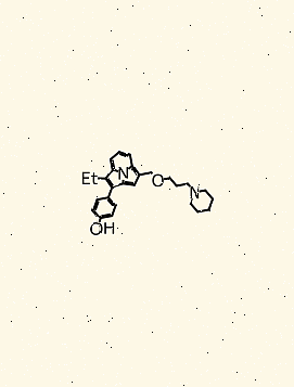 CCc1c(-c2ccc(O)cc2)c2cc(COCCCN3CCCCC3)c3cccc1n32